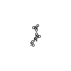 c1ccc(-n2c3ccccc3c3cc(-c4ccc5c(c4)c4ccccc4n5-c4ccc(-c5ccc6sc7ccccc7c6c5)nc4)ccc32)cc1